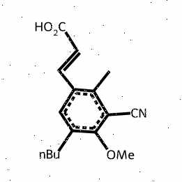 CCCCc1cc(C=CC(=O)O)c(C)c(C#N)c1OC